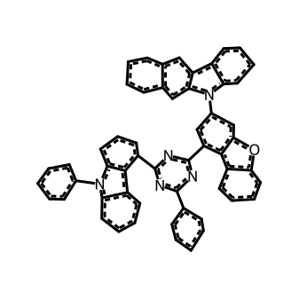 c1ccc(-c2nc(-c3cc(-n4c5ccccc5c5cc6ccccc6cc54)cc4oc5ccccc5c34)nc(-c3cccc4c3c3ccccc3n4-c3ccccc3)n2)cc1